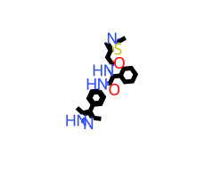 Cc1ncc(CC(=O)N[C@H](C(=O)Nc2ccc(-c3c(C)n[nH]c3C)cc2)C2CCCCC2)s1